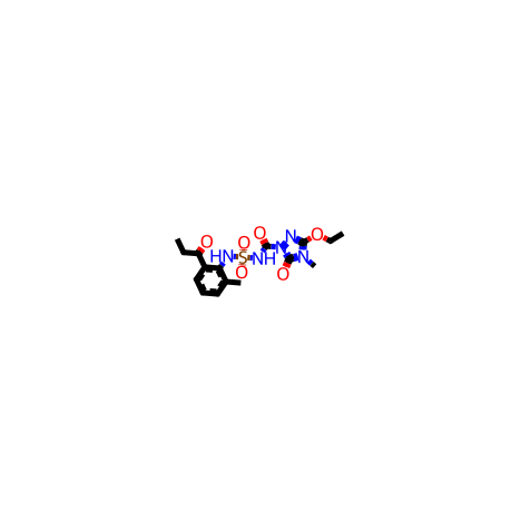 CCOc1nn(C(=O)NS(=O)(=O)Nc2c(C)cccc2C(=O)CC)c(=O)n1C